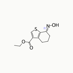 CCOC(=O)c1csc2c1CCC/C2=N\O